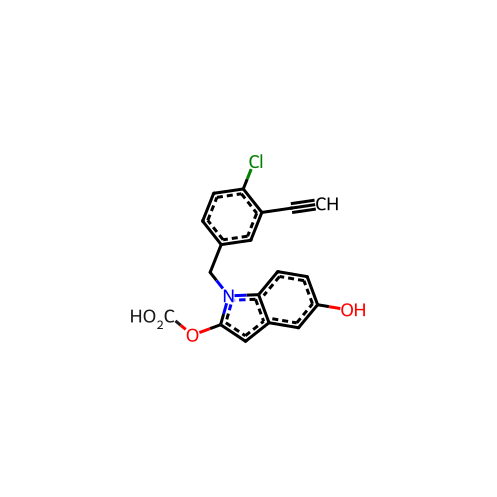 C#Cc1cc(Cn2c(OC(=O)O)cc3cc(O)ccc32)ccc1Cl